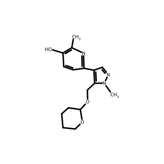 Cc1nc(-c2cnn(C)c2COC2CCCCO2)ccc1O